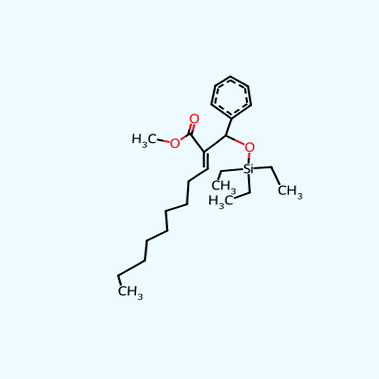 CCCCCCCC/C=C(\C(=O)OC)C(O[Si](CC)(CC)CC)c1ccccc1